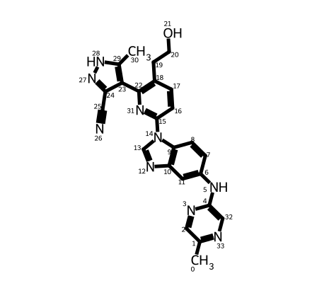 Cc1cnc(Nc2ccc3c(c2)ncn3-c2ccc(CCO)c(-c3c(C#N)n[nH]c3C)n2)cn1